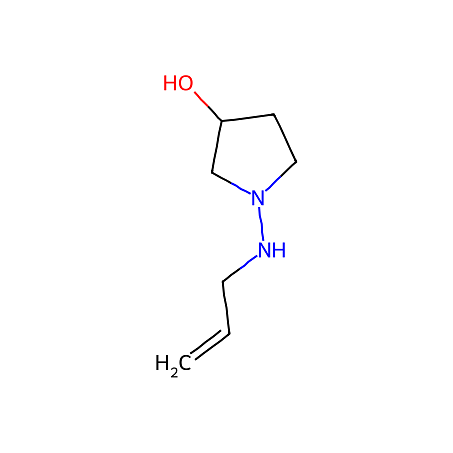 C=CCNN1CCC(O)C1